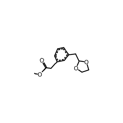 COC(=O)Cc1cccc(CC2OCCO2)c1